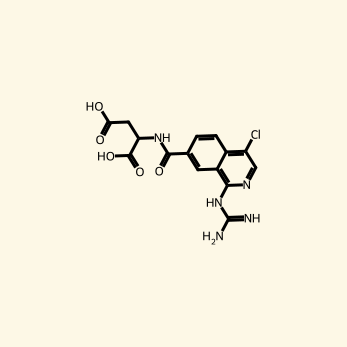 N=C(N)Nc1ncc(Cl)c2ccc(C(=O)NC(CC(=O)O)C(=O)O)cc12